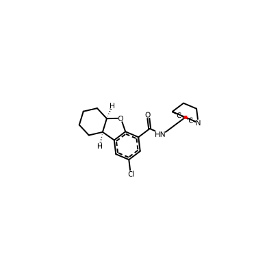 O=C(NC1CN2CCC1CC2)c1cc(Cl)cc2c1O[C@@H]1CCCC[C@H]21